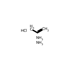 C=CC.Cl.N.N